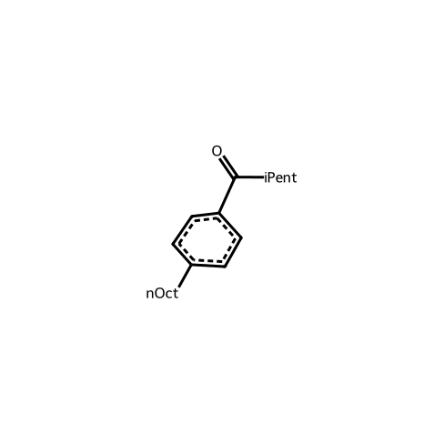 CCCCCCCCc1ccc(C(=O)C(C)CCC)cc1